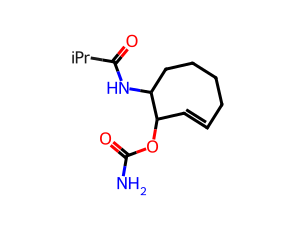 CC(C)C(=O)NC1CCCC/C=C/C1OC(N)=O